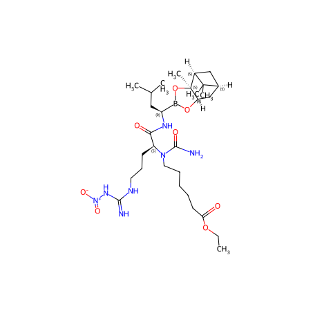 CCOC(=O)CCCCCN(C(N)=O)[C@@H](CCCNC(=N)N[N+](=O)[O-])C(=O)N[C@@H](CC(C)C)B1O[C@@H]2C[C@@H]3C[C@@H](C3(C)C)[C@]2(C)O1